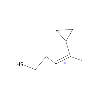 C/C(=C/CCS)C1CC1